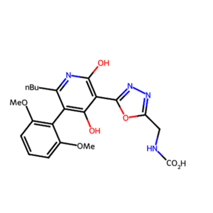 CCCCc1nc(O)c(-c2nnc(CNC(=O)O)o2)c(O)c1-c1c(OC)cccc1OC